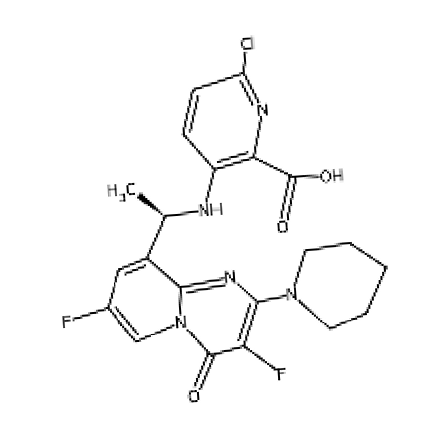 C[C@@H](Nc1ccc(Cl)nc1C(=O)O)c1cc(F)cn2c(=O)c(F)c(N3CCCCC3)nc12